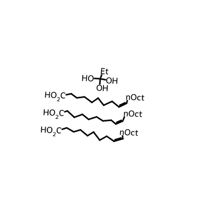 CCC(O)(O)O.CCCCCCCC/C=C\CCCCCCCC(=O)O.CCCCCCCC/C=C\CCCCCCCC(=O)O.CCCCCCCC/C=C\CCCCCCCC(=O)O